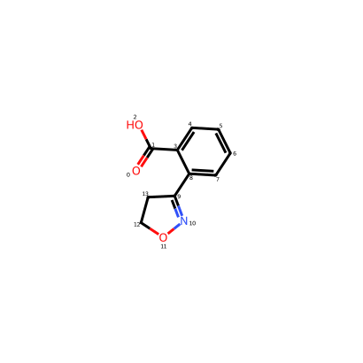 O=C(O)c1ccccc1C1=NOCC1